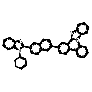 C1=CCCC(n2c(-c3ccc4cc(-c5ccc6c7ccccc7n7c8ccccc8nc7c6c5)ccc4c3)nc3ccccc32)=C1